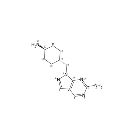 Nc1ncc2cnn(C[C@H]3CC[C@H](N)CC3)c2n1